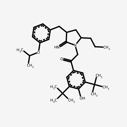 CCCC1CC(Cc2cccc(OC(C)C)c2)C(=N)N1CC(=O)c1cc(C(C)(C)C)c(O)c(C(C)(C)C)c1